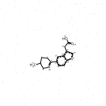 CC1CCC(c2ccc3scc(CC(=O)O)c3c2)=NC1